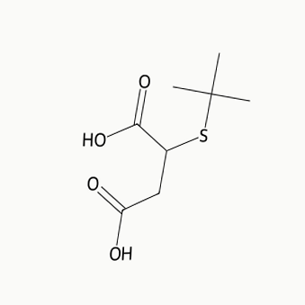 CC(C)(C)SC(CC(=O)O)C(=O)O